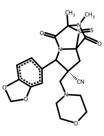 CN1C(=O)C23C[C@@](C#N)(CN4CCOCC4)C(c4ccc5c(c4)OCO5)N2C(=O)C1(C)S3=S